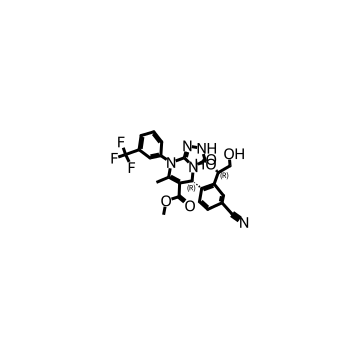 COC(=O)C1=C(C)N(c2cccc(C(F)(F)F)c2)c2n[nH]c(=O)n2[C@@H]1c1ccc(C#N)cc1[C@@H](O)CO